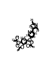 CC(=O)O[C@@H]1[C@@H](OC(C)=O)[C@H](OC(C)=O)CS[C@H]1Oc1ccc(-c2sc(C)nc2C)nc1